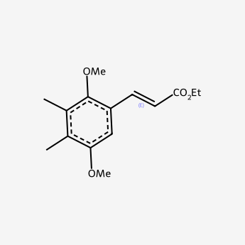 CCOC(=O)/C=C/c1cc(OC)c(C)c(C)c1OC